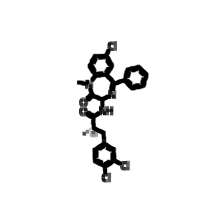 C[C@@H](Cc1ccc(Cl)c(Cl)c1)C(=O)NC1N=C(c2ccccc2)c2cc(Cl)ccc2N(C)C1=O